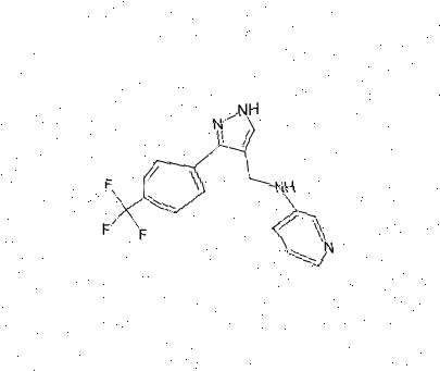 FC(F)(F)c1ccc(-c2n[nH]cc2CNc2cccnc2)cc1